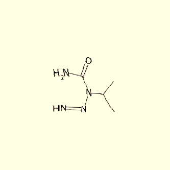 CC(C)N(N=N)C(N)=O